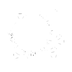 CC(C)[C@@H](O)[C@@H]1NC(=O)[C@@H]2CCCN2C(=O)[C@H](Cc2c[nH]c3ccc(F)cc23)NC(=O)[C@H](Cc2c[nH]c3ccc(F)cc23)NC(=O)CNC(=O)[C@H](CCCCN)NC(=O)CCSCc2cccc(c2)CSC[C@@H]2NC(=O)[C@@]3(C)N(CCN3C2=O)C(=O)[C@H](Cc2ccc(O)cc2)NC1=O